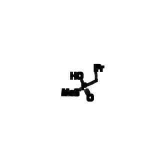 CSP(=O)(O)CC(C)C